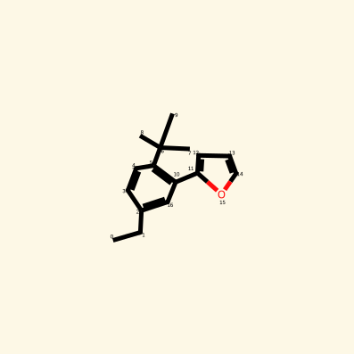 CCc1c[c]c(C(C)(C)C)c(-c2ccco2)c1